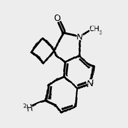 [2H]c1ccc2ncc3c(c2c1)C1(CCC1)C(=O)N3C